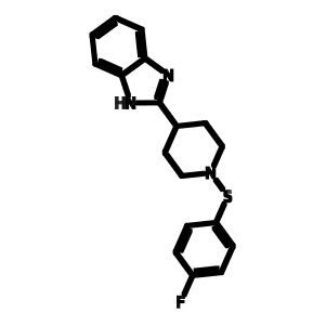 Fc1ccc(SN2CCC(c3nc4ccccc4[nH]3)CC2)cc1